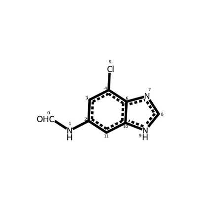 O=CNc1cc(Cl)c2nc[nH]c2c1